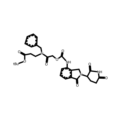 CC(C)(C)OC(=O)CCN(Cc1ccccc1)C(=O)COC(=O)Nc1cccc2c1CN(C1CCC(=O)NC1=O)C2=O